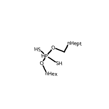 CCCCCCCCO[PH](S)(S)OCCCCCC